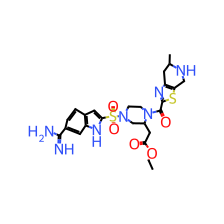 CCOC(=O)CC1CN(S(=O)(=O)c2cc3ccc(C(=N)N)cc3[nH]2)CCN1C(=O)c1nc2c(s1)CNC(C)C2